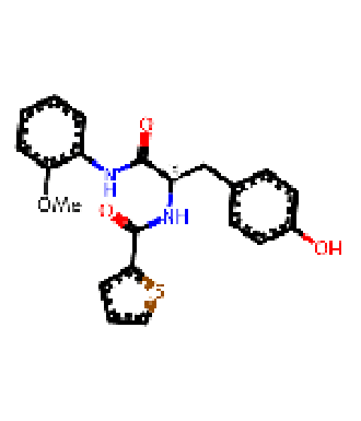 COc1ccccc1NC(=O)[C@@H](Cc1ccc(O)cc1)NC(=O)c1cccs1